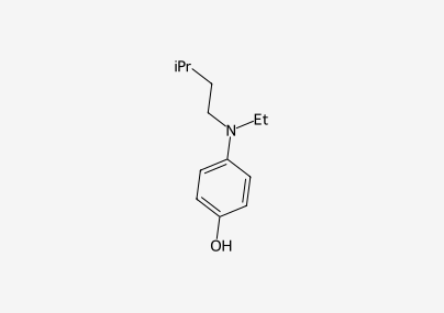 CCN(CCC(C)C)c1ccc(O)cc1